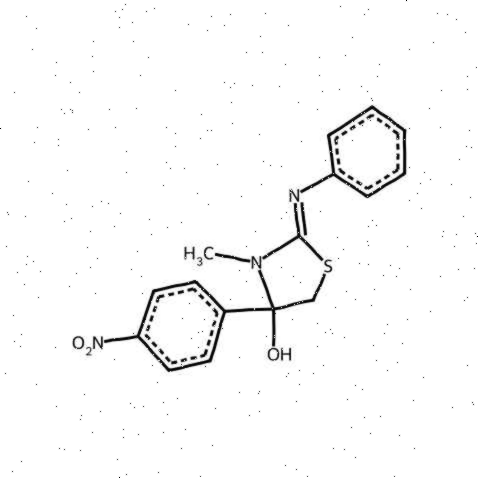 CN1/C(=N/c2ccccc2)SCC1(O)c1ccc([N+](=O)[O-])cc1